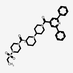 CCS(=O)(=O)N1CCN(C(=O)[C@@H]2CCCN(C3CCN(C(=O)c4cc(-c5ccccc5)nc(-c5ccccc5)c4)CC3)C2)CC1